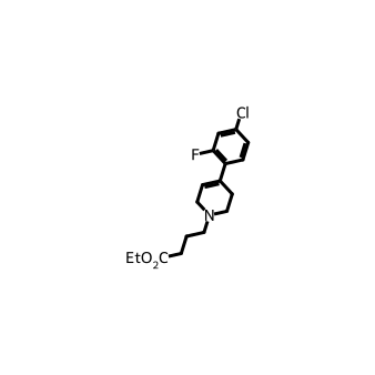 CCOC(=O)CCCN1CC=C(c2ccc(Cl)cc2F)CC1